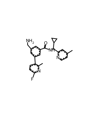 Cc1ccnc(C(NC(=O)c2cc(CN)cc(-c3ccc(F)nc3C)c2)C2CC2)c1